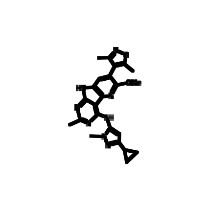 COc1nc2c(cc1-c1c(C)noc1C)[nH]c1nc(C)nc(Nc3cc(C4CC4)nn3C)c12